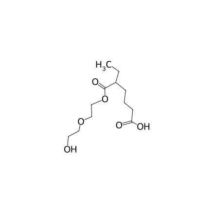 CCC(CCCC(=O)O)C(=O)OCCOCCO